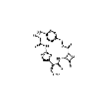 CO/N=C(\C(=O)N[C@H]1C(=O)N[C@H]1C(=O)OCc1ccc([N+](=O)[O-])cc1)c1csc(NC(=O)CCl)n1